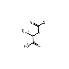 O=C([O-])CC(Cl)C(=O)O.[K+]